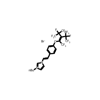 CCCC[n+]1ccn(C=Cc2ccc(OC(=C(C(F)(C(F)(F)F)C(F)(F)F)C(F)(C(F)(F)F)C(F)(F)F)C(F)(F)F)cc2)c1.[Br-]